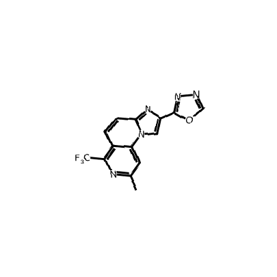 Cc1cc2c(ccc3nc(-c4nnco4)cn32)c(C(F)(F)F)n1